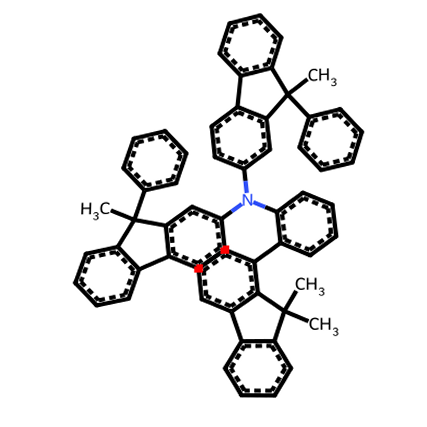 CC1(C)c2ccccc2-c2cccc(-c3ccccc3N(c3ccc4c(c3)C(C)(c3ccccc3)c3ccccc3-4)c3ccc4c(c3)C(C)(c3ccccc3)c3ccccc3-4)c21